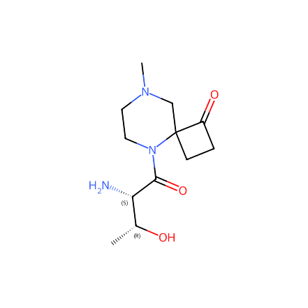 C[C@@H](O)[C@H](N)C(=O)N1CCN(C)CC12CCC2=O